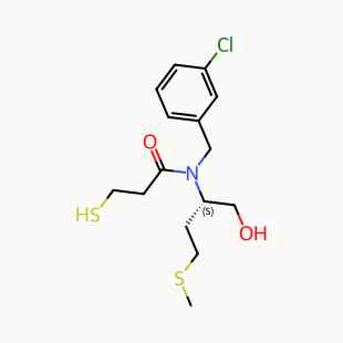 CSCC[C@@H](CO)N(Cc1cccc(Cl)c1)C(=O)CCS